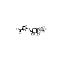 CCOC(=O)C1(COc2nc(C(=O)CC)cs2)CC=C(OS(=O)(=O)C(F)(F)F)CC1